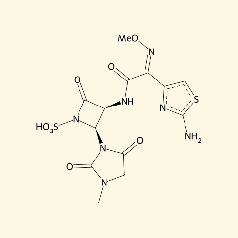 CO/N=C(\C(=O)N[C@@H]1C(=O)N(S(=O)(=O)O)[C@@H]1N1C(=O)CN(C)C1=O)c1csc(N)n1